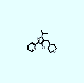 CC(C)n1nc(-c2ccccn2)c(Cl)c1CN1CCOCC1